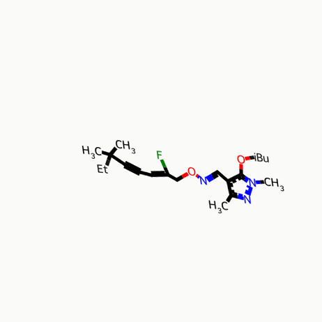 CCC(C)Oc1c(C=NOCC(F)=CC#CC(C)(C)CC)c(C)nn1C